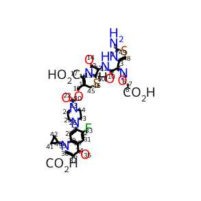 Nc1nc(/C(=N/OCC(=O)O)C(=O)N[C@@H]2C(=O)N3C(C(=O)O)=C(COC(=O)N4CCN(c5cc6c(cc5F)c(=O)c(C(=O)O)cn6C5CC5)CC4)CS[C@H]23)cs1